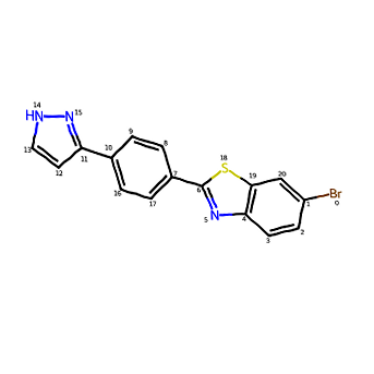 Brc1ccc2nc(-c3ccc(-c4cc[nH]n4)cc3)sc2c1